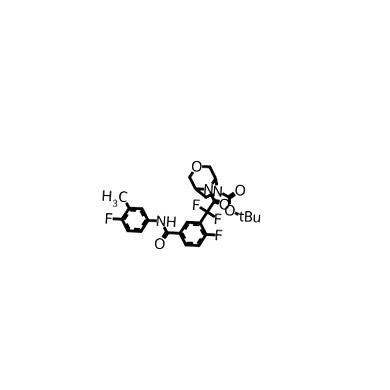 Cc1cc(NC(=O)c2ccc(F)c(C(F)(F)C(=O)N3C4COCC3N(C(=O)OC(C)(C)C)C4)c2)ccc1F